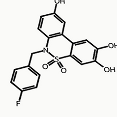 O=S1(=O)c2cc(O)c(O)cc2-c2cc(O)ccc2N1Cc1ccc(F)cc1